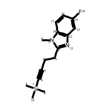 Cn1c(CCC#C[Si](C)(C)C)nc2cc(F)ccc21